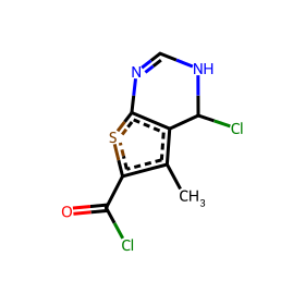 Cc1c(C(=O)Cl)sc2c1C(Cl)NC=N2